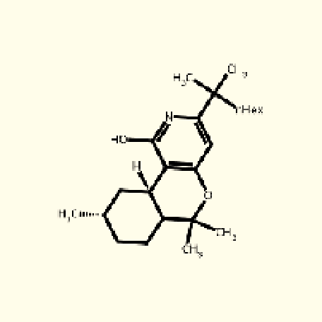 CCCCCCC(C)(C)c1cc2c(c(O)n1)[C@H]1C[C@@H](C)CCC1C(C)(C)O2